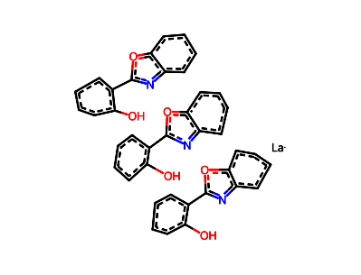 Oc1ccccc1-c1nc2ccccc2o1.Oc1ccccc1-c1nc2ccccc2o1.Oc1ccccc1-c1nc2ccccc2o1.[La]